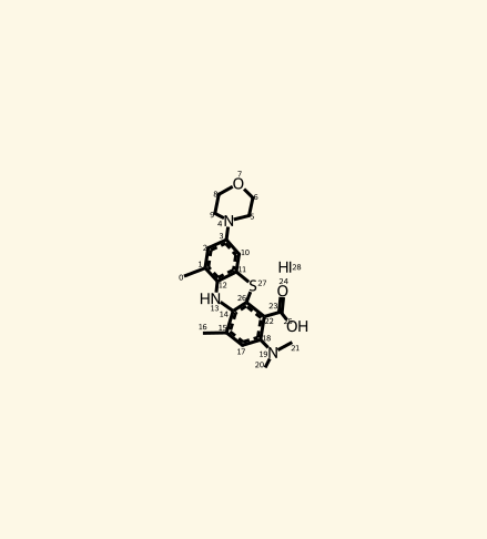 Cc1cc(N2CCOCC2)cc2c1Nc1c(C)cc(N(C)C)c(C(=O)O)c1S2.I